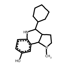 CN1CCC2C(C3CCCCC3)Nc3ccc(O)cc3C21